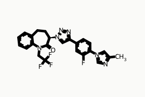 Cc1cn(-c2ccc(-c3cn([C@@H]4CCc5ccccc5N(CC(F)(F)F)C4=O)nn3)cc2F)cn1